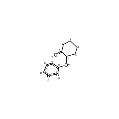 O=C1CCCCC1Oc1cccnn1